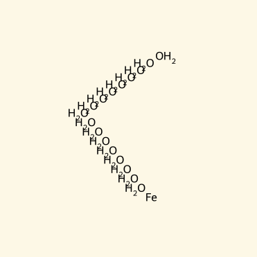 O.O.O.O.O.O.O.O.O.O.O.O.O.O.O.O.O.[Fe]